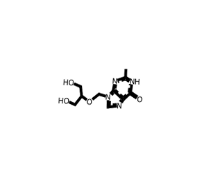 Cc1nc2c(ncn2COC(CO)CO)c(=O)[nH]1